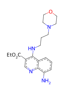 CCOC(=O)c1cnc2c(N)cccc2c1NCCCN1CCOCC1